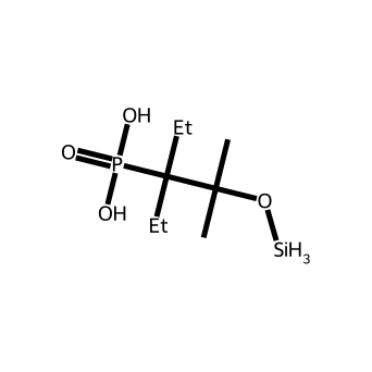 CCC(CC)(C(C)(C)O[SiH3])P(=O)(O)O